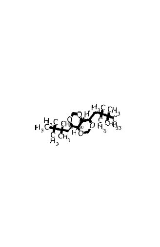 CC(C)(C)C(C)(C)CC1OCO[C@H]2[C@@H]1OCO[C@@H]2CC(C)(C)C(C)(C)C